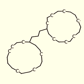 [CH]1CCCCCCCCC(CCCC2CCCCCCC[CH]CCCCCCCC2)CCCCCCC1